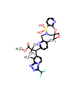 COC(=O)C(C)(C)C(c1ccc(C)c(CN2CC3(COC3)Oc3ncccc3S2(O)O)n1)c1ccn2c(C(F)F)nnc2c1C